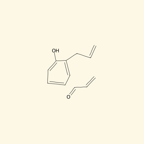 C=CC=O.C=CCc1ccccc1O